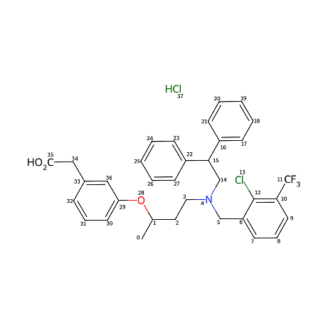 CC(CCN(Cc1cccc(C(F)(F)F)c1Cl)CC(c1ccccc1)c1ccccc1)Oc1cccc(CC(=O)O)c1.Cl